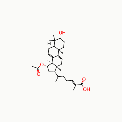 CC(=O)O[C@H]1C[C@H](C(C)CC/C=C(\C)C(=O)O)[C@@]2(C)CC=C3C(=CC[C@H]4C(C)(C)[C@H](O)CC[C@]34C)[C@]12C